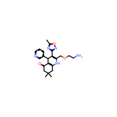 Cc1nc(C2=C(COCCN)NC3=C(C(=O)CC(C)(C)C3)C2c2cccnc2)no1